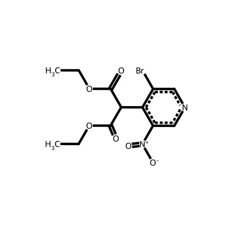 CCOC(=O)C(C(=O)OCC)c1c(Br)cncc1[N+](=O)[O-]